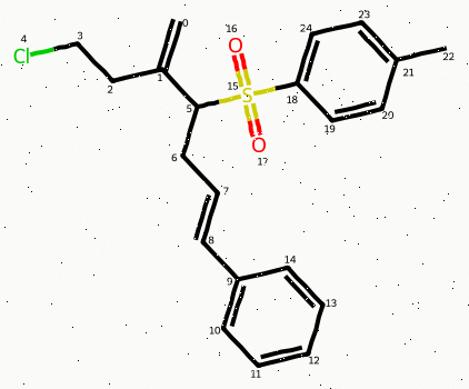 C=C(CCCl)C(CC=Cc1ccccc1)S(=O)(=O)c1ccc(C)cc1